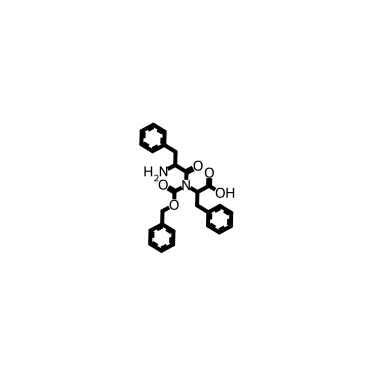 NC(Cc1ccccc1)C(=O)N(C(=O)OCc1ccccc1)C(Cc1ccccc1)C(=O)O